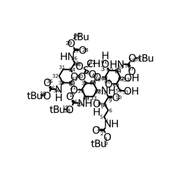 CC(C)(C)OC(=O)NCC[C@H](O)C(=O)N[C@@H]1C[C@@H](NC(=O)OC(C)(C)C)C(O[C@H]2OC(CNC(=O)OC(C)(C)C)CCC2NC(=O)OC(C)(C)C)C(OS(C)(=O)=O)[C@H]1O[C@H]1OC(CO)[C@@H](O)[C@H](NC(=O)OC(C)(C)C)C1O